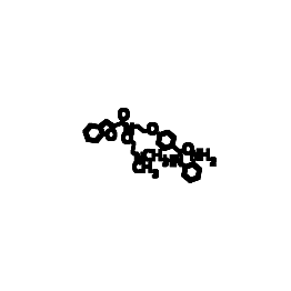 CN(C)CCON(CCOc1ccc(C(=O)Nc2ccccc2N)cc1)C(=O)c1cc2ccccc2o1